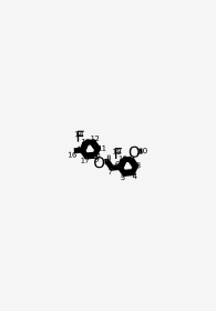 COc1cccc(CCOc2ccc(F)c(C)c2)c1F